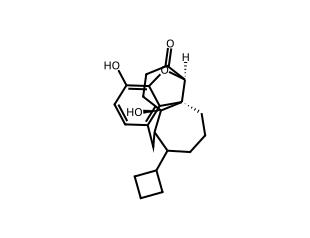 O=C1CC[C@@]2(O)C3Cc4ccc(O)c5c4[C@@]2(CCCC3C2CCC2)[C@H]1O5